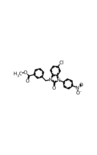 COC(=O)c1cccc(Cn2c(=O)n(-c3ccc([N+](=O)[O-])cc3)c3cc(Cl)ccc32)c1